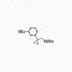 CNCC1(c2cccc(C(C)(C)C)c2)CC1